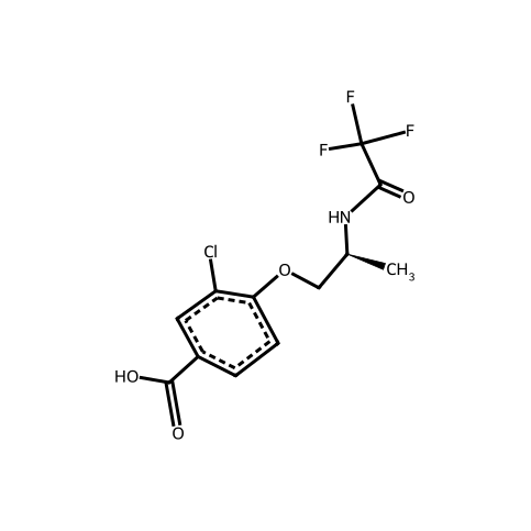 C[C@@H](COc1ccc(C(=O)O)cc1Cl)NC(=O)C(F)(F)F